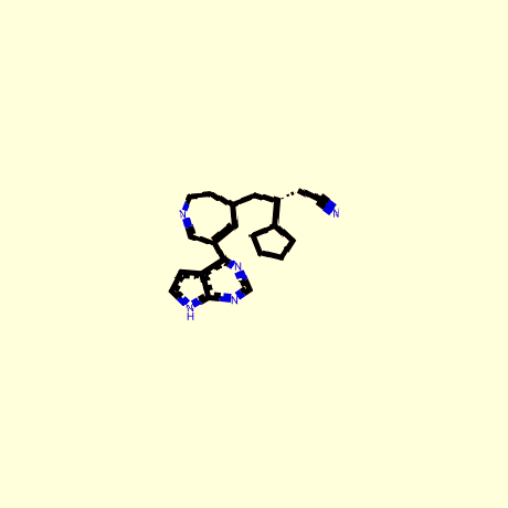 N#CC[C@@H](CC1C=C(c2ncnc3[nH]ccc23)C=NCC1)C1CCCC1